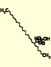 CCCCCCCCCCCCCCCCCC(CCCCCC)OOP(=O)(O)O